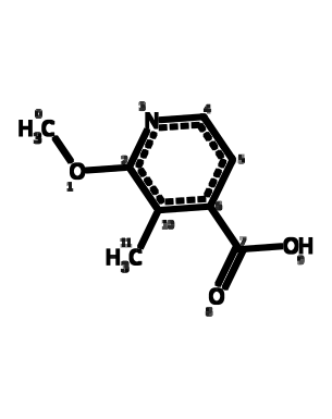 COc1nccc(C(=O)O)c1C